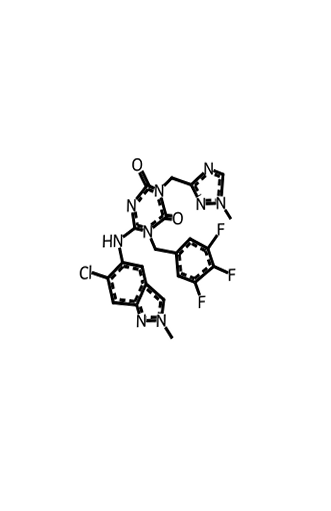 Cn1cnc(Cn2c(=O)nc(Nc3cc4cn(C)nc4cc3Cl)n(Cc3cc(F)c(F)c(F)c3)c2=O)n1